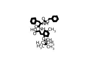 Cc1ccc(O[Si](C)(C)C(C)(C)C)c(CC(NC(=O)C(Cc2ccccc2)NC(=O)OCc2ccccc2)C(=O)O)c1